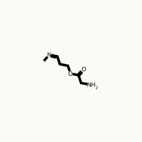 C/N=C\CCOC(=O)CN